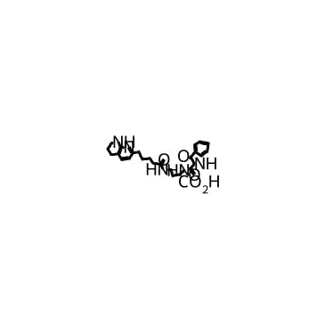 O=C(CCCCc1ccc2c(n1)NCCC2)NCC[C@H](NC(=O)C1Nc2ccccc2C1=O)C(=O)O